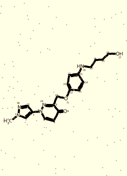 Cn1cc(-n2ccc(=O)c(COc3ccc(NCCCCO)cc3)n2)cn1